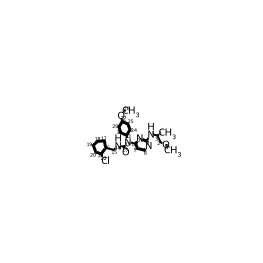 COCC(C)Nc1nccc(N(C(=O)NCc2ccccc2Cl)c2ccc(OC)cc2)n1